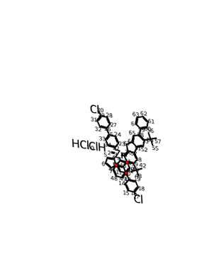 Cl.Cl.[CH2]=[Zr]([C]1=CC=CC1)([c]1ccc(-c2ccc(Cl)cc2)cc1)([c]1ccc(-c2ccc(Cl)cc2)cc1)[c]1c2c(cc(C(C)(C)C)c1-c1ccccc1)-c1cc(C(C)(C)C)c(-c3ccccc3)cc1C2